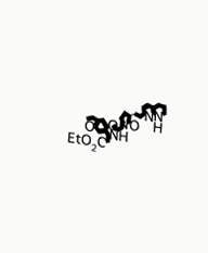 CCOC(=O)CC(NC(=O)CN1CC[C@H](CCc2ccc3c(n2)NCCC3)C1=O)c1ccc2c(c1)OCC2